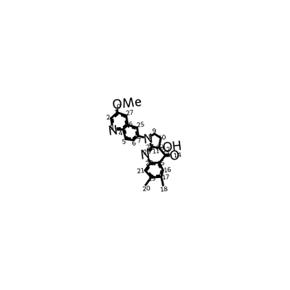 COc1cnc2ccc(N3CC[C@@]4(O)C(=O)c5cc(C)c(C)cc5N=C34)cc2c1